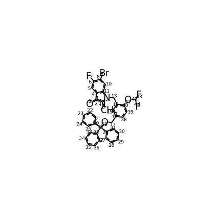 Cn1c(=O)c2cc(F)c(Br)cc2n1Cc1cc(COC(c2ccccc2)(c2ccccc2)c2ccccc2)ccc1OC(F)F